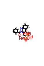 O=C(NC(CC(P(=O)(O)O)P(=O)(O)O)C(=O)c1ccccc1)c1ccccc1